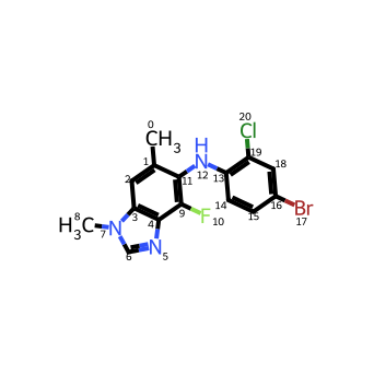 Cc1cc2c(ncn2C)c(F)c1Nc1ccc(Br)cc1Cl